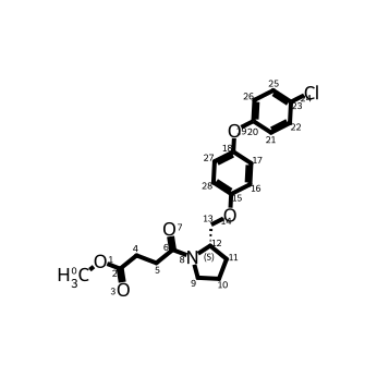 COC(=O)CCC(=O)N1CCC[C@H]1COc1ccc(Oc2ccc(Cl)cc2)cc1